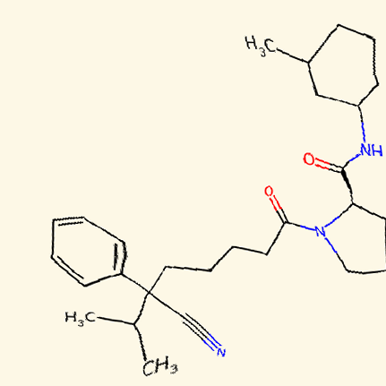 CC1CCCC(NC(=O)[C@H]2CCCN2C(=O)CCCCC(C#N)(c2ccccc2)C(C)C)C1